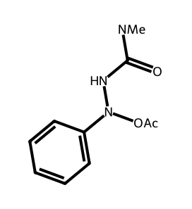 CNC(=O)NN(OC(C)=O)c1ccccc1